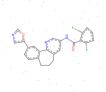 O=C(Nc1cnc2c(c1)CCCc1ccc(-c3cnco3)cc1-2)c1c(F)cccc1F